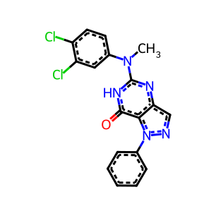 CN(c1ccc(Cl)c(Cl)c1)c1nc2cnn(-c3ccccc3)c2c(=O)[nH]1